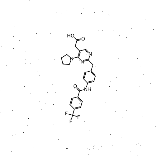 O=C(O)Cc1cnc(Cc2ccc(NC(=O)c3ccc(C(F)(F)F)cc3)cc2)nc1N1CCCC1